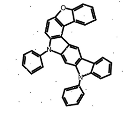 c1ccc(-n2c3ccccc3c3cc4c5c6c(ccc5n(-c5ccccc5)c4cc32)oc2ccccc26)cc1